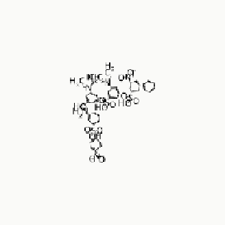 CCN(CC)c1cccc(O)c1.CCN(CC)c1cccc(S(=O)(=O)O)c1.Nc1cccc(S(=O)(=O)O)c1.O=[N+]([O-])c1cccc(S(=O)(=O)O)c1.O=[N+]([O-])c1ccccc1.c1ccccc1